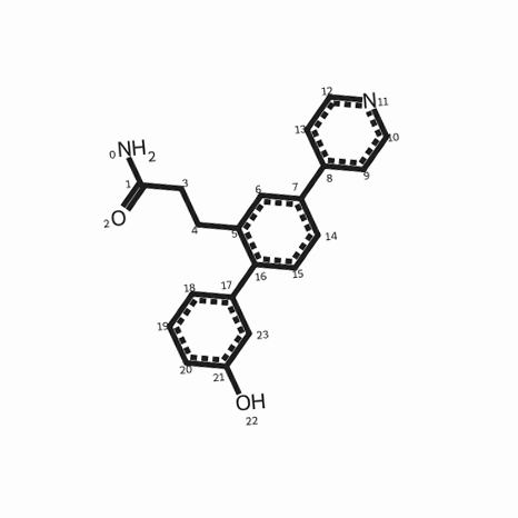 NC(=O)CCc1cc(-c2ccncc2)ccc1-c1cccc(O)c1